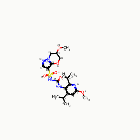 COc1cc(C(C)C)c(NC(=O)NS(=O)(=O)c2cnn3c2OCC(OC)C3)c(C(C)C)n1